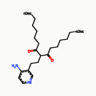 CCCCCCCCCCCCCCCC(=O)C(CCc1cnccc1N)C(=O)CCCCCCCCCCCCCCC